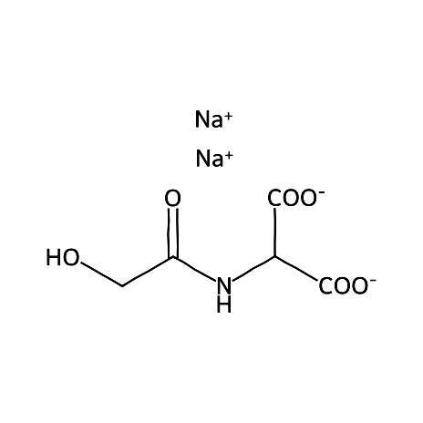 O=C(CO)NC(C(=O)[O-])C(=O)[O-].[Na+].[Na+]